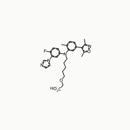 Cc1ccc(-c2c(C)noc2C)cc1N(CCCCCOCC(=O)O)c1ccc(F)c(-n2ccnc2)c1